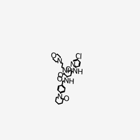 O=C(CC(NC(=O)c1ccc(N2CCCCC2=O)cc1)C(=O)NCCN1CCOCC1)Nc1ccc(Cl)cn1